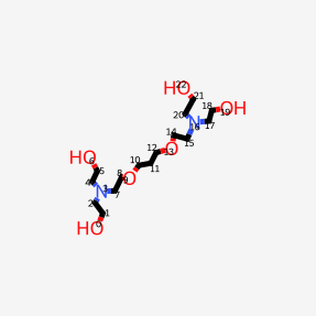 OCCN(CCO)CCOCCCOCCN(CCO)CCO